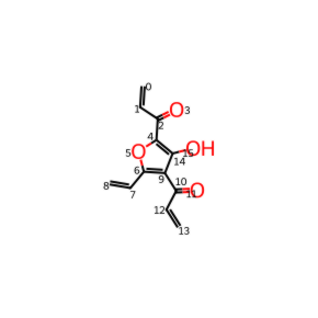 C=CC(=O)c1oc(C=C)c(C(=O)C=C)c1O